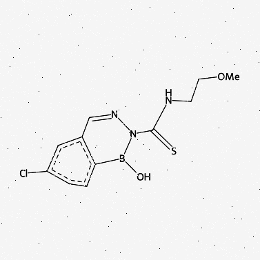 COCCNC(=S)N1N=Cc2cc(Cl)ccc2B1O